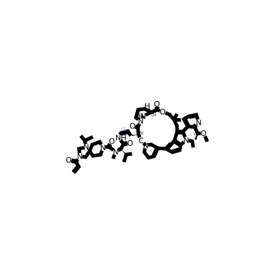 C=CC(=O)N1CN(C(C)C)C2(CCN(C(=O)N(C)[C@H](C(=O)N/C=C\C[C@H]3CN4CCC=C(C4)c4ccc5c(c4)c(c(-c4cccnc4[C@H](C)OC)n5CC)CC(C)(C)COC(=O)[C@@H]4CCCN(N4)C3=O)C(C)C)CC2)C1